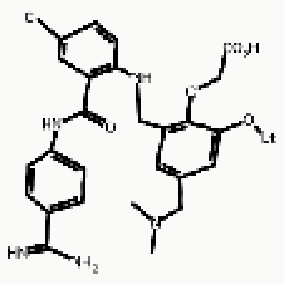 CCOc1cc(CN(C)C)cc(CNc2ccc(Cl)cc2C(=O)Nc2ccc(C(=N)N)cc2)c1OCC(=O)O